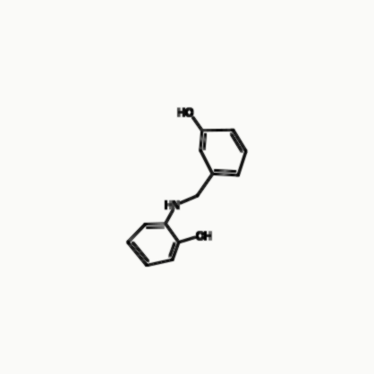 Oc1cccc(CNc2ccccc2O)c1